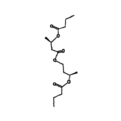 CCCC(=O)O[C@H](C)CCOC(=O)C[C@@H](C)OC(=O)CCC